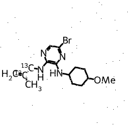 C=[13C](C)[13CH2]Nc1ncc(Br)nc1NC1CCC(OC)CC1